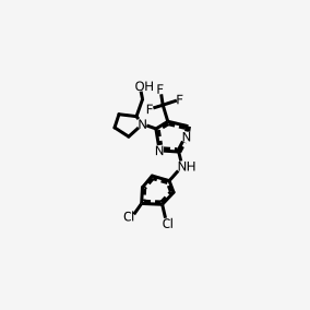 OCC1CCCN1c1nc(Nc2ccc(Cl)c(Cl)c2)ncc1C(F)(F)F